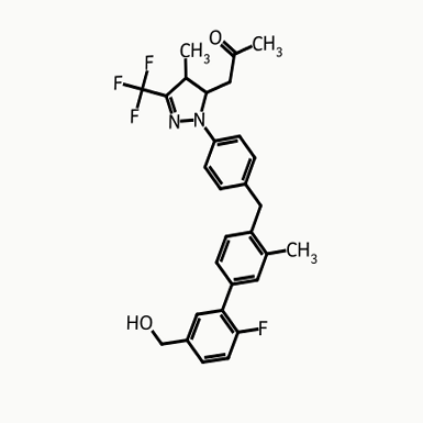 CC(=O)CC1C(C)C(C(F)(F)F)=NN1c1ccc(Cc2ccc(-c3cc(CO)ccc3F)cc2C)cc1